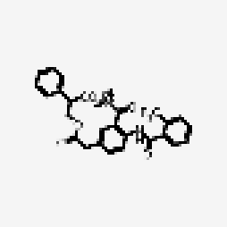 CCOC(=O)C(COC(=O)Cc1ccc(NC(=O)c2ccccc2C(F)(F)F)c(C(=O)N(C)C)c1)c1ccccc1